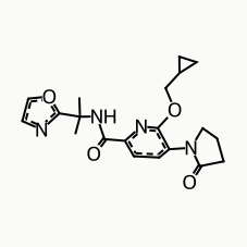 CC(C)(NC(=O)c1ccc(N2CCCC2=O)c(OCC2CC2)n1)c1ncco1